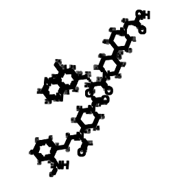 CNc1ccccc1CCN(C=O)C1CCN(C(=O)O[C@H](Cc2cc(C)c3nccnc3c2)C(=O)N2CCC(C3CCN(CC(=O)O)CC3)CC2)CC1